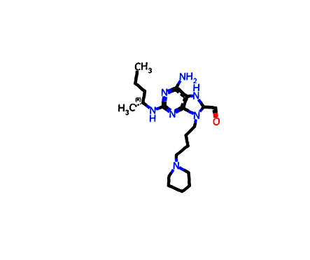 CCC[C@@H](C)Nc1nc(N)c2c(n1)N(CCCCN1CCCCC1)C(C=O)N2